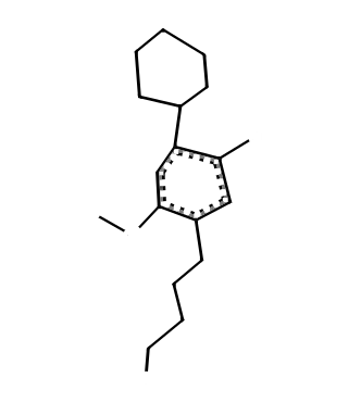 COc1cc(C2CCCCC2)c(Cl)cc1CCCCO